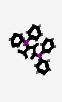 CC(C)C(C(C)C(C)P(c1ccccc1)c1ccccc1)P(c1ccccc1)c1ccccc1